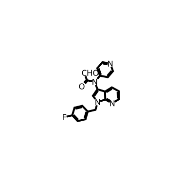 O=CC(=O)N(c1ccncc1)c1cn(Cc2ccc(F)cc2)c2ncccc12